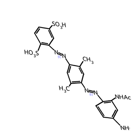 CC(=O)Nc1cc([NH])ccc1/N=N/c1cc(C)c(/N=N/c2cc(S(=O)(=O)O)ccc2S(=O)(=O)O)cc1C